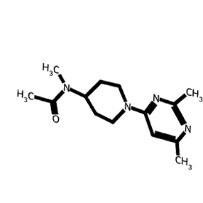 CC(=O)N(C)C1CCN(c2cc(C)nc(C)n2)CC1